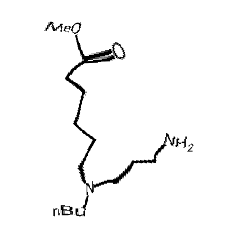 CCCCN(CCCN)CCCCCC(=O)OC